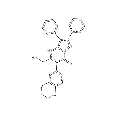 NCc1[nH]c2c(-c3ccccc3)c(-c3ccccc3)nn2c(=O)c1-c1ccc2c(c1)OCCO2